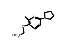 Cc1nc(N2CCCC2)ccc1OCC(=O)O